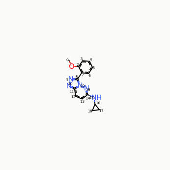 COc1ccccc1-c1nnc2ccc(NC3CC3)nn12